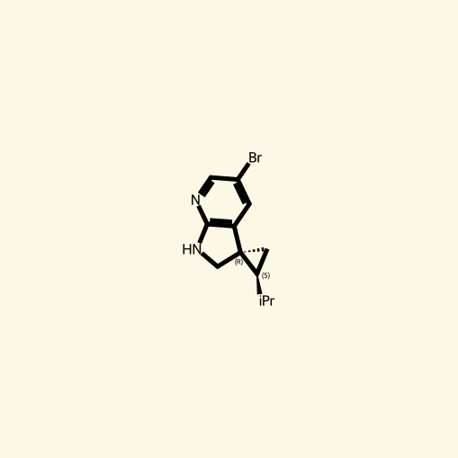 CC(C)[C@@H]1C[C@@]12CNc1ncc(Br)cc12